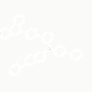 c1ccc(-c2ccc(N(c3cccc(-c4ccc(-c5cc6ccccc6c6ccccc56)cc4)c3)c3ccc4cc5c(cc4c3)sc3ccccc35)cc2)cc1